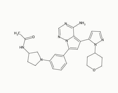 CC(=O)NC1CCN(c2cccc(-c3cc(-c4ccnn4C4CCOCC4)c4c(N)ncnn34)c2)C1